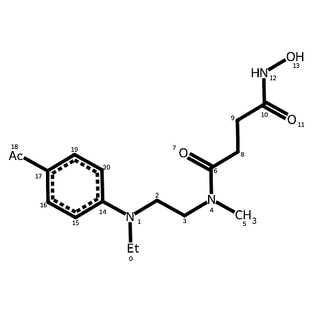 CCN(CCN(C)C(=O)CCC(=O)NO)c1ccc(C(C)=O)cc1